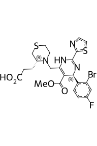 COC(=O)C1=C(CN2CCSC[C@H]2CCC(=O)O)NC(c2nccs2)=N[C@H]1c1ccc(F)cc1Br